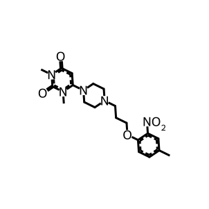 Cc1ccc(OCCCN2CCN(c3cc(=O)n(C)c(=O)n3C)CC2)c([N+](=O)[O-])c1